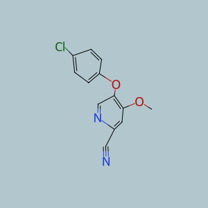 COc1cc(C#N)ncc1Oc1ccc(Cl)cc1